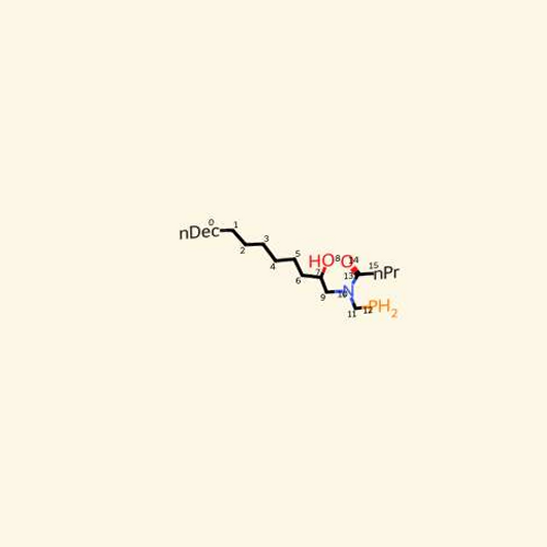 CCCCCCCCCCCCCCCCC(O)CN(CP)C(=O)CCC